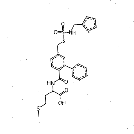 CSCCC(NC(=O)c1ccc(CSS(=O)(=O)NCc2cccs2)cc1-c1ccccc1)C(=O)O